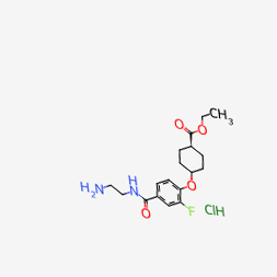 CCOC(=O)[C@H]1CC[C@@H](Oc2ccc(C(=O)NCCN)cc2F)CC1.Cl